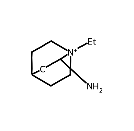 CC[N+]12CCC(CC1)CC2N